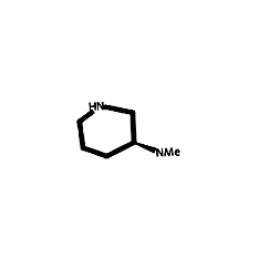 CN[C@H]1CCCNC1